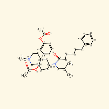 CC(=O)Oc1cccc([C@@]23CCN(C)C[C@@]2(OC(C)=O)CC[C@@H](N(CC(C)C)C(=O)CCCCCc2ccccc2)C3)c1